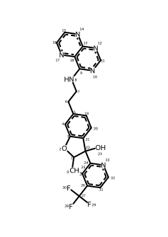 CC1Oc2cc(CCNc3ncnc4nccnc34)ccc2C1(O)c1cc(C(F)(F)F)ccn1